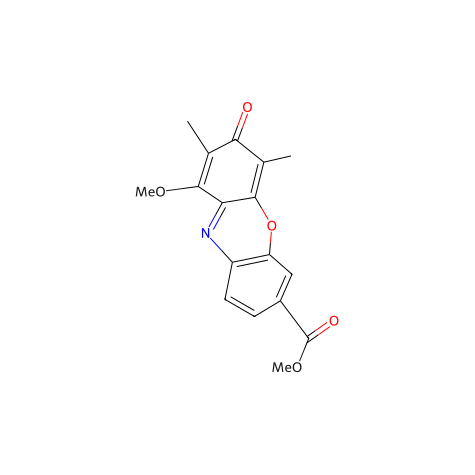 COC(=O)c1ccc2nc3c(OC)c(C)c(=O)c(C)c-3oc2c1